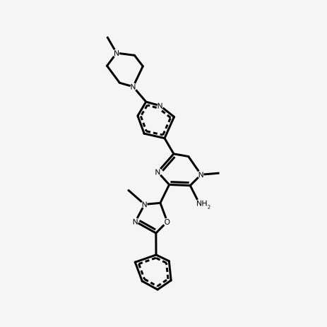 CN1CCN(c2ccc(C3=NC(C4OC(c5ccccc5)=NN4C)=C(N)N(C)C3)cn2)CC1